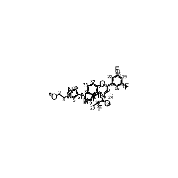 COCCn1cc(-n2ncc3cc(O[C@H](c4cc(F)cc(F)c4)[C@H](C)NC(=O)C(C)(F)F)ccc32)cn1